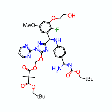 COc1cc(OCCO)c(F)c([C@@H](Nc2ccc(/C(N)=N/C(=O)OCC(C)(C)C)cc2)c2nc(OCOC(=O)C(C)(C)C(=O)OCC(C)(C)C)n(-c3ncccn3)n2)c1